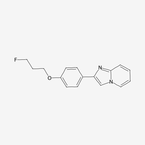 FCCCOc1ccc(-c2cn3ccccc3n2)cc1